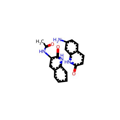 CC(=O)Nc1cc2ccccc2[nH]c1=O.Nc1ccc2ccc(=O)[nH]c2c1